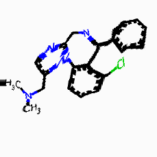 CN(C)Cc1cnc2n1-c1cccc(Cl)c1C(c1ccccc1)=NC2